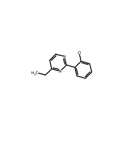 CCc1ccnc(-c2ccccc2Cl)n1